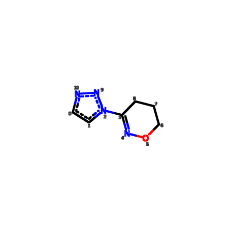 c1cn(C2=NOCCC2)nn1